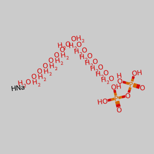 O.O.O.O.O.O.O.O.O.O.O.O.O.O.O.O.O=P(O)(O)OP(=O)(O)O.[NaH]